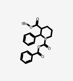 CC(C)(C)OC(=O)C1CCCN(C(=O)OC(=O)c2ccccc2)C1c1ccccc1